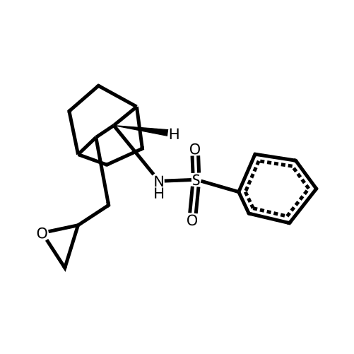 O=S(=O)(N[C@H]1C2CCC(CC2)C1CC1CO1)c1ccccc1